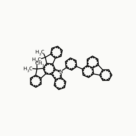 CC1(C)c2ccccc2-c2c1c1c(c3c2c2ccccc2n3-c2cccc(-c3ccc4c5c(cccc35)-c3ccccc3-4)c2)-c2ccccc2C1(C)C